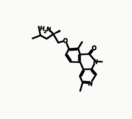 Cc1cc2c3ccc(OC[C@@](C)(N)CC(C)C)c(C)c3c(=O)n(C)c2cn1